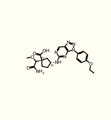 CCOc1ccc(-n2nnc3cnc(N[C@@H]4CC[C@@](C(=O)O)(C(OC)C(N)=O)C4)nc32)cc1